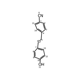 N#Cc1ccc(CSc2ccc(O)cc2)cc1